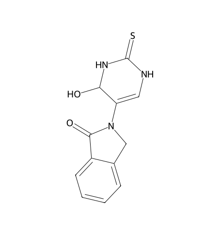 O=C1c2ccccc2CN1C1=CNC(=S)NC1O